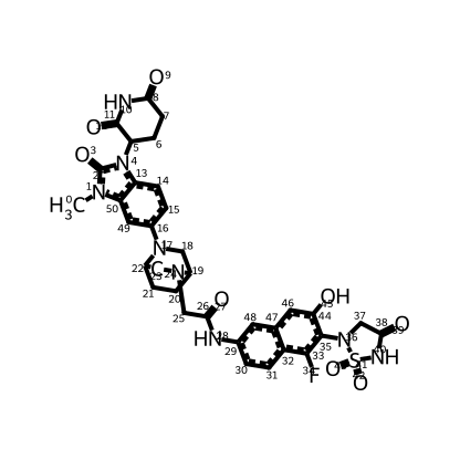 Cn1c(=O)n(C2CCC(=O)NC2=O)c2ccc(N3CC4CCC3CN4CC(=O)Nc3ccc4c(F)c(N5CC(=O)NS5(=O)=O)c(O)cc4c3)cc21